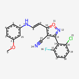 COc1cccc(NC=Cc2onc(-c3c(F)cccc3Cl)c2C#N)c1